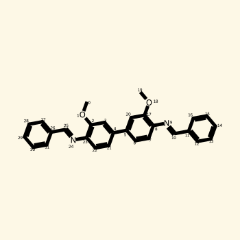 COc1cc(-c2ccc(N=Cc3ccccc3)c(OC)c2)ccc1N=Cc1ccccc1